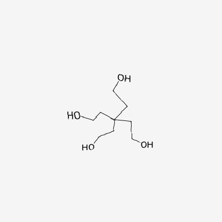 OCCC(CCO)(CCO)CCO